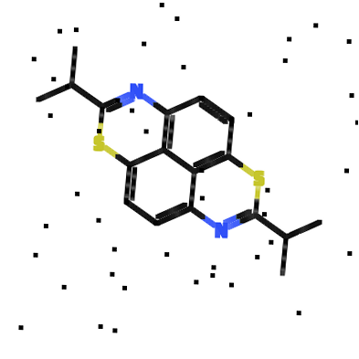 CC(C)C1=Nc2ccc3c4c(ccc(c24)S1)N=C(C(C)C)S3